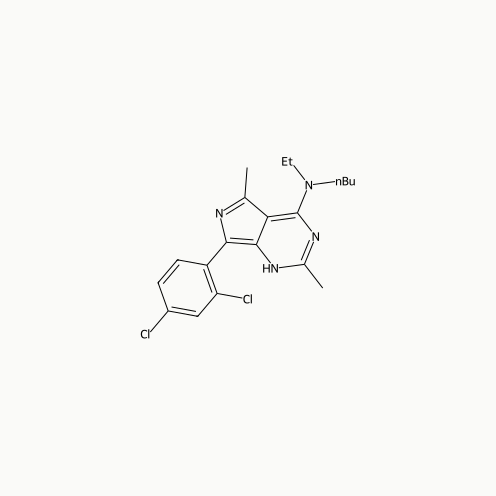 CCCCN(CC)c1nc(C)[nH]c2c(-c3ccc(Cl)cc3Cl)nc(C)c1-2